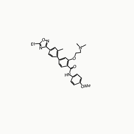 CCc1nc(-c2ccc(-c3ccc(C(=O)Nc4ccc(OC)cc4)c(OCCN(C)C)c3)c(C)c2)no1